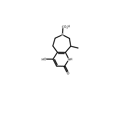 CC1CN(C(=O)O)CCc2c(O)cc(=O)[nH]c21